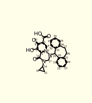 O=C(O)c1cn2c(c(O)c1=O)C(=O)N(C1CC1)CN2C1c2ccccc2CCc2ccccc21